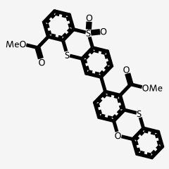 COC(=O)c1cccc2c1Sc1cc(-c3ccc4c(c3C(=O)OC)Sc3ccccc3O4)ccc1S2(=O)=O